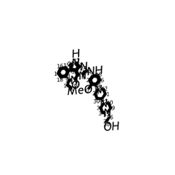 COc1cc(Nc2nc(N3OCC[C@H]3c3ccccc3)c3cc[nH]c3n2)ccc1N1CCC(N2CCN(CCO)CC2)CC1